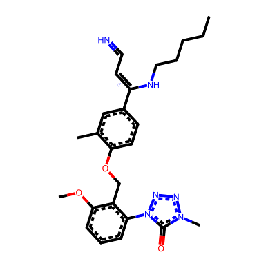 CCCCCN/C(=C\C=N)c1ccc(OCc2c(OC)cccc2-n2nnn(C)c2=O)c(C)c1